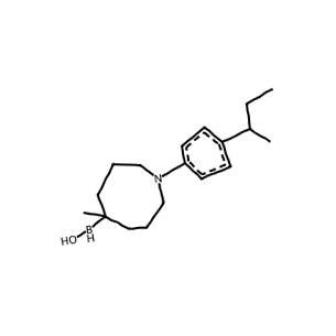 CCC(C)c1ccc(N2CCCC(C)(BO)CCC2)cc1